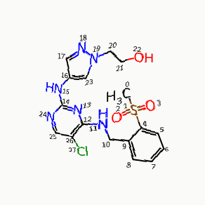 CS(=O)(=O)c1ccccc1CNc1nc(Nc2cnn(CCO)c2)ncc1Cl